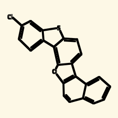 Clc1ccc2c(c1)sc1ccc3c(oc4ccc5ccccc5c43)c12